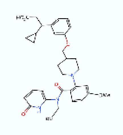 CCC(C)CN(C(=O)c1ccc(OC)cc1N1CCC(COc2cccc(C(CC(=O)O)C3CC3)c2)CC1)c1cccc(=O)[nH]1